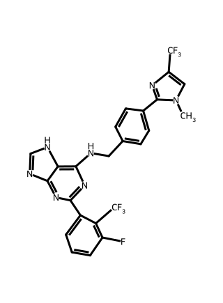 Cn1cc(C(F)(F)F)nc1-c1ccc(CNc2nc(-c3cccc(F)c3C(F)(F)F)nc3nc[nH]c23)cc1